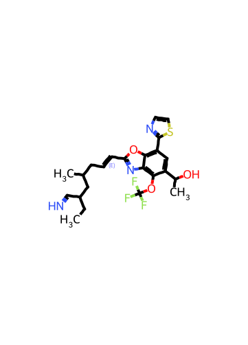 CCC(C=N)CC(C)C/C=C/c1nc2c(OC(F)(F)F)c(C(C)O)cc(-c3nccs3)c2o1